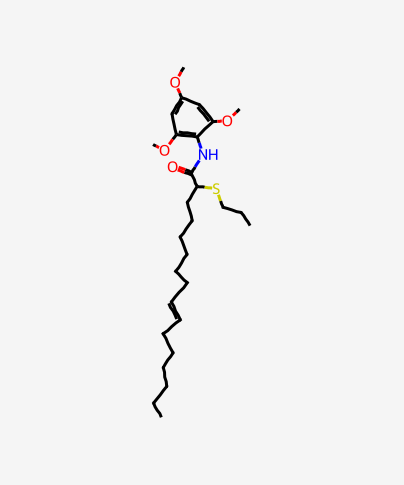 CCCCCC/C=C/CCCCCCC(SCCC)C(=O)Nc1c(OC)cc(OC)cc1OC